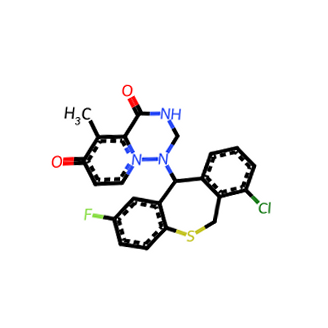 Cc1c2n(ccc1=O)N(C1c3cc(F)ccc3SCc3c(Cl)cccc31)CNC2=O